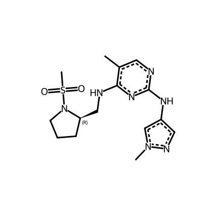 Cc1cnc(Nc2cnn(C)c2)nc1NC[C@H]1CCCN1S(C)(=O)=O